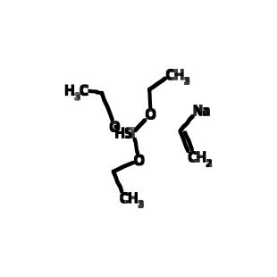 C=[CH][Na].CCO[SiH](OCC)OCC